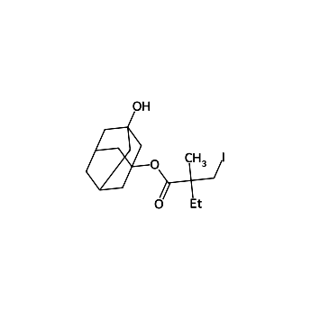 CCC(C)(CI)C(=O)OC12CC3CC(CC(O)(C3)C1)C2